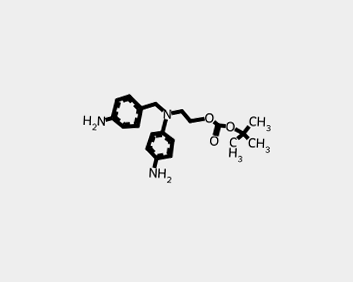 CC(C)(C)OC(=O)OCCN(Cc1ccc(N)cc1)c1ccc(N)cc1